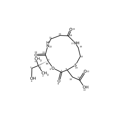 CC(C)(CO)[C@H]1OC(=O)C(CC(=O)O)SCCNC(=O)CCNC1=O